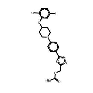 CCCCC(=O)OCc1nnc(-c2ccc(N3CCC(Oc4cc(F)ccc4Cl)CC3)cc2)s1